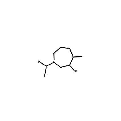 CC1CCCC(C(F)F)CC1F